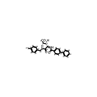 O=C(O)CC[C@H](NC(=O)c1ccc(-c2ccccc2)cc1)C(=O)NCc1ccc(I)cc1